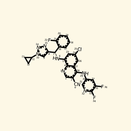 N#Cc1cnc2c(N[C@H](c3cn(C4CC4)nn3)c3ccccc3F)cc(Cl)cc2c1Nc1cnc(F)c(F)c1